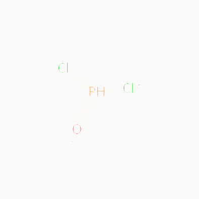 C=C.O=[PH](Cl)Cl